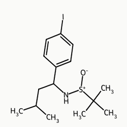 CC(C)CC(N[S+]([O-])C(C)(C)C)c1ccc(I)cc1